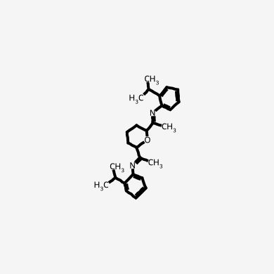 C/C(=N\c1ccccc1C(C)C)C1CCCC(/C(C)=N/c2ccccc2C(C)C)O1